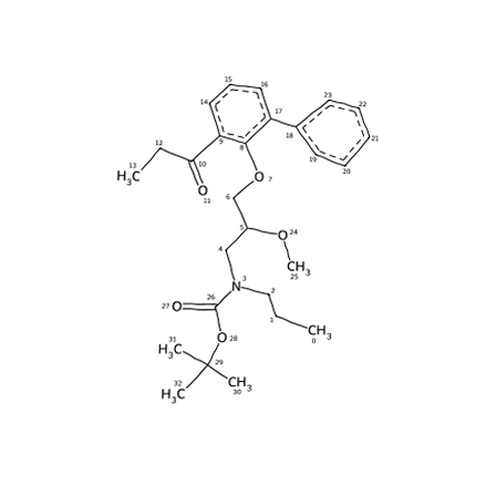 CCCN(CC(COc1c(C(=O)CC)cccc1-c1ccccc1)OC)C(=O)OC(C)(C)C